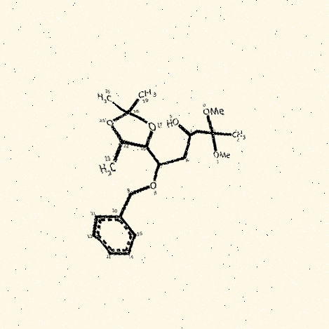 COC(C)(OC)C(O)CC(OCc1ccccc1)C1OC(C)(C)OC1C